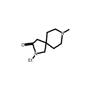 CCN1CC2(CCN(C)CC2)CC1=O